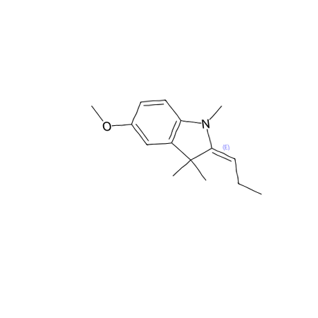 CC/C=C1/N(C)c2ccc(OC)cc2C1(C)C